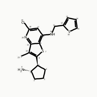 N[C@H]1CCC[C@@H]1c1sc2c(NCc3cccs3)cc(Cl)nc2c1I